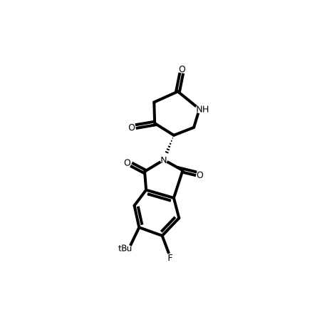 CC(C)(C)c1cc2c(cc1F)C(=O)N([C@H]1CNC(=O)CC1=O)C2=O